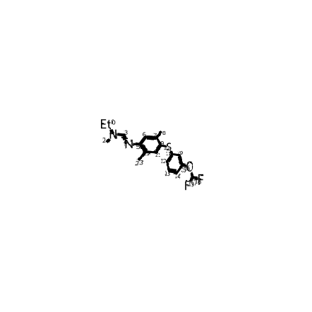 CCN(C)/C=N/c1cc(C)c(Sc2cccc(OC(F)F)c2)cc1C